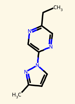 CCc1cnc(-n2ccc(C)n2)cn1